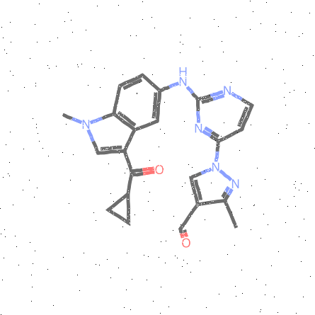 Cc1nn(-c2ccnc(Nc3ccc4c(c3)c(C(=O)C3CC3)cn4C)n2)cc1C=O